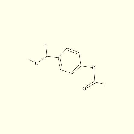 COC(C)c1ccc(OC(C)=O)cc1